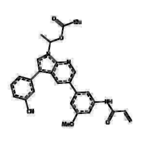 C=CC(=O)Nc1cc(OC)cc(-c2cnc3c(c2)c(-c2cccc(C#N)c2)cn3C(C)OC(=O)C(C)(C)C)c1